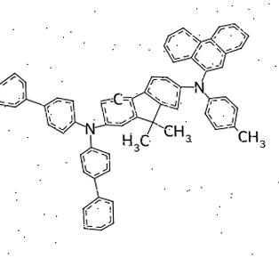 Cc1ccc(N(c2ccc3c(c2)C(C)(C)c2cc(N(c4ccc(-c5ccccc5)cc4)c4ccc(-c5ccccc5)cc4)ccc2-3)c2cc3ccccc3c3ccccc23)cc1